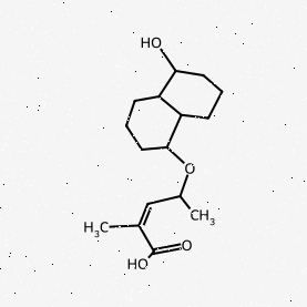 CC(=CC(C)OC1CCCC2C(O)CCCC12)C(=O)O